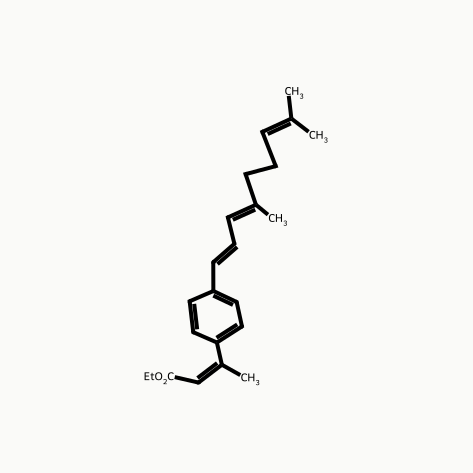 CCOC(=O)/C=C(/C)c1ccc(/C=C/C=C(\C)CCC=C(C)C)cc1